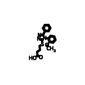 COc1ccccc1-n1c(SCCCC(=O)O)nnc1-c1ccccc1